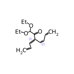 C=C/C=C\C(=C/C=C)C(=O)C(OCC)OCC